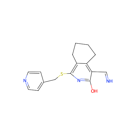 N=Cc1c(O)nc(SCc2ccncc2)c2c1CCCC2